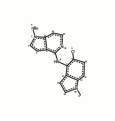 CCCCn1ccc2c(Nc3c(Cl)ccc4c3ccn4C)nccc21